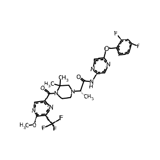 COc1ncc(C(=O)N2CCN([C@@H](C)C(=O)Nc3cnc(Oc4ccc(F)cc4F)cn3)CC2(C)C)nc1C(F)(F)F